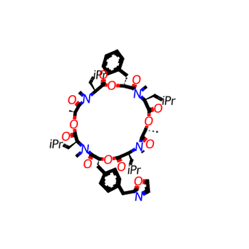 CC(C)C[C@H]1C(=O)O[C@H](Cc2ccc(Cc3ncco3)cc2)C(=O)N(C)[C@@H](CC(C)C)C(=O)O[C@H](C)C(=O)N(C)[C@@H](CC(C)C)C(=O)O[C@H](Cc2ccccc2)C(=O)N(C)[C@@H](CC(C)C)C(=O)O[C@H](C)C(=O)N1C